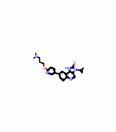 CN(C)CCCOc1ccc(-c2ccc3ncc4c([nH]c(=O)n4C4CC4)c3c2)cn1